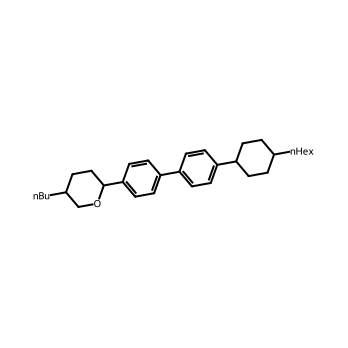 CCCCCCC1CCC(c2ccc(-c3ccc(C4CCC(CCCC)CO4)cc3)cc2)CC1